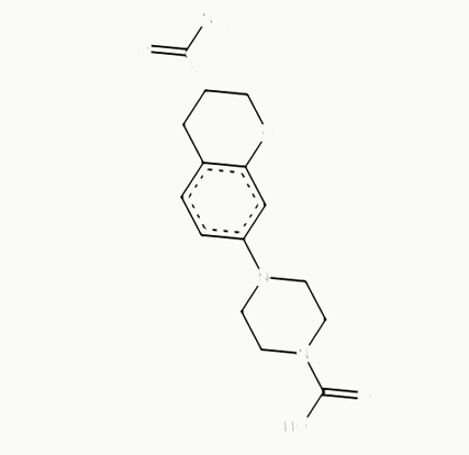 NC(=O)[C@@H]1COc2cc(N3CCN(C(=O)O)CC3)ccc2C1